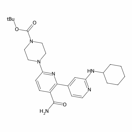 CC(C)(C)OC(=O)N1CCN(c2ccc(C(N)=O)c(-c3ccnc(NC4CCCCC4)c3)n2)CC1